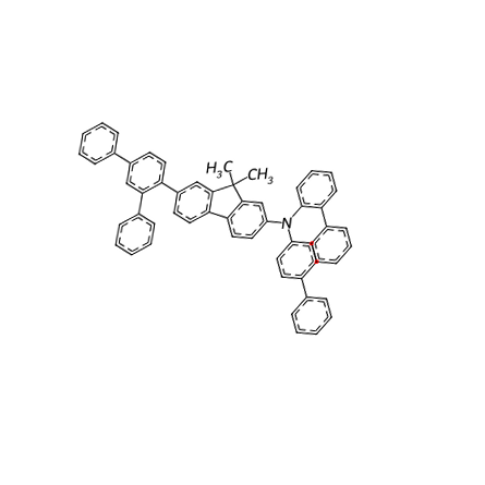 CC1(C)c2cc(-c3ccc(-c4ccccc4)cc3-c3ccccc3)ccc2-c2ccc(N(c3ccc(-c4ccccc4)cc3)c3ccccc3-c3ccccc3)cc21